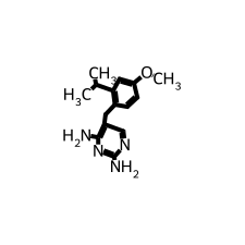 COc1ccc(Cc2cnc(N)nc2N)c(C(C)C)c1